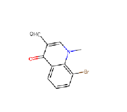 Cn1cc(C=O)c(=O)c2cccc(Br)c21